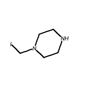 ICN1CCNCC1